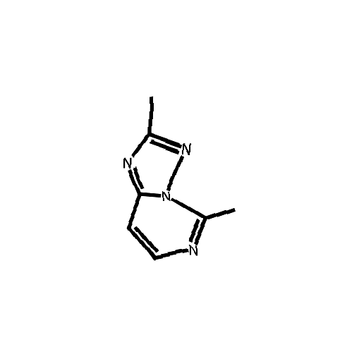 Cc1nc2ccnc(C)n2n1